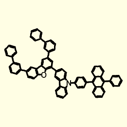 c1ccc(-c2cccc(-c3ccc4oc5c(-c6ccc7c(c6)c6ccccc6n7-c6ccc(-c7c8ccccc8c(-c8ccccc8)c8ccccc78)cc6)cc(-c6cccc(-c7ccccc7)c6)cc5c4c3)c2)cc1